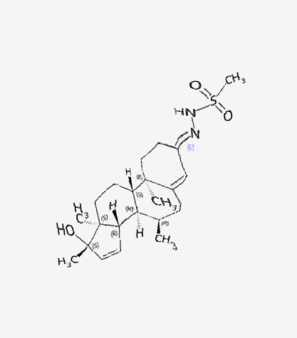 C[C@@H]1CC2=C/C(=N/NS(C)(=O)=O)CC[C@]2(C)[C@H]2CC[C@@]3(C)[C@@H](C=C[C@]3(C)O)[C@H]12